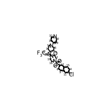 O=C1CN(S(=O)(=O)c2ccc3cc(Cl)ccc3c2)CCN1N(CC(F)(F)F)C1CCN(c2ccncc2)CC1